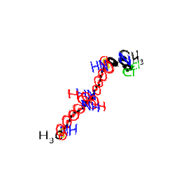 CN1Cc2c(Cl)cc(Cl)cc2[C@H](c2ccc(S(=O)(=O)NCCOCCOCCOCCNC(=O)[C@H](O)[C@@H](O)C(=O)NCCOCCOCCOCCNS(C)(=O)=O)cc2)C1